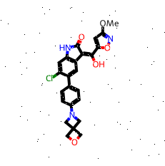 COc1cc(C(O)=C2C(=O)Nc3cc(Cl)c(-c4ccc(N5CC6(COC6)C5)cc4)cc32)on1